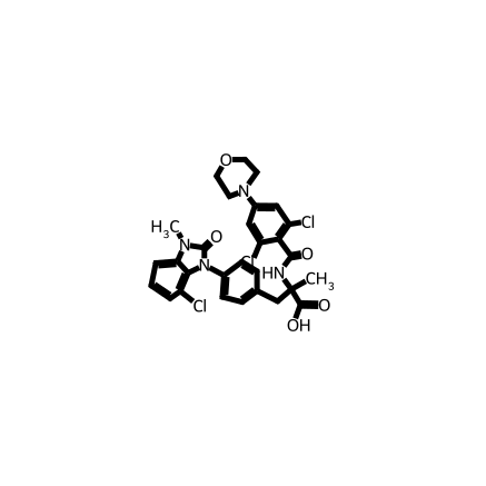 Cn1c(=O)n(-c2ccc(CC(C)(NC(=O)c3c(Cl)cc(N4CCOCC4)cc3Cl)C(=O)O)cc2)c2c(Cl)cccc21